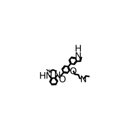 CCN(C)CCCOc1cc(C(=O)N2CC[C@H](C)Nc3ccccc32)ccc1-c1ccc2[nH]ccc2c1